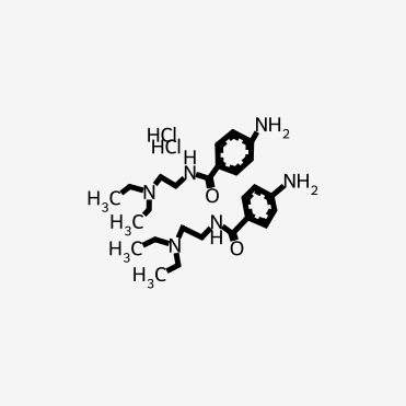 CCN(CC)CCNC(=O)c1ccc(N)cc1.CCN(CC)CCNC(=O)c1ccc(N)cc1.Cl.Cl